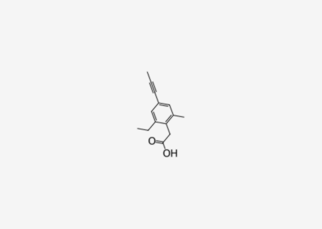 CC#Cc1cc(C)c(CC(=O)O)c(CC)c1